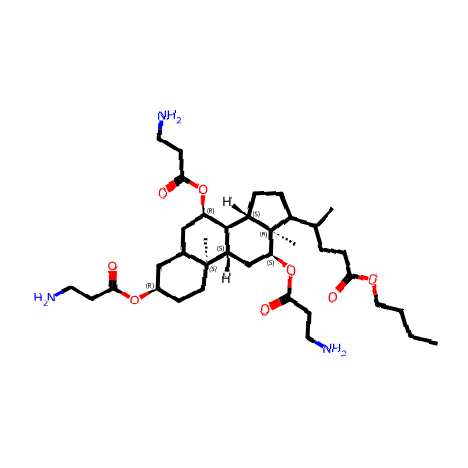 CCCCOC(=O)CCC(C)C1CC[C@H]2C3[C@H](OC(=O)CCN)CC4C[C@H](OC(=O)CCN)CC[C@]4(C)[C@H]3C[C@H](OC(=O)CCN)[C@]12C